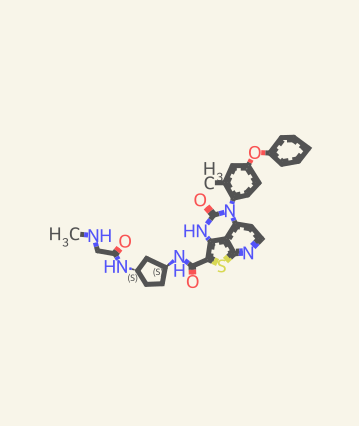 CNCC(=O)N[C@H]1CC[C@H](NC(=O)c2sc3nccc4c3c2NC(=O)N4c2ccc(Oc3ccccc3)cc2C)C1